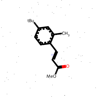 COC(=O)/C=C/c1ccc(C(C)(C)C)cc1C